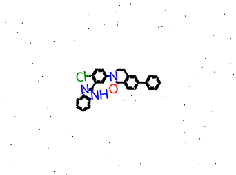 O=C1c2ccc(-c3ccccc3)cc2CCN1c1ccc(Cl)c(-c2nc3ccccc3[nH]2)c1